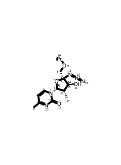 Cc1ccn([C@@H]2O[C@@](COC(C)C)(N=[N+]=[N-])[C@@H](O)[C@@H]2F)c(=O)n1